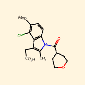 COc1ccc2c(c1Cl)c(CC(=O)O)c(C)n2C(=O)C1CCOCC1